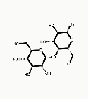 CC(C)[C@H]1O[C@H](CO)[C@@H](O[C@H]2O[C@H](CO)[C@@H](C)[C@H](O)[C@H]2O)[C@H](O)[C@H]1O